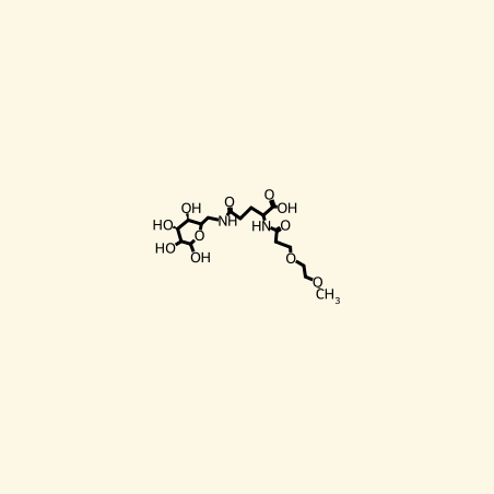 COCCOCCC(=O)NC(CCC(=O)NCC1OC(O)C(O)[C@@H](O)[C@H]1O)C(=O)O